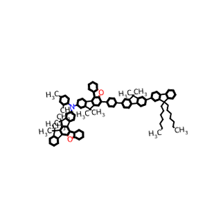 CCCCCCCC1(CCCCCCC)c2ccccc2-c2ccc(-c3ccc4c(c3)C(C)(C)c3cc(-c5ccc(-c6cc7c(c8c6oc6ccccc68)-c6ccc(N(c8ccc9c(c8)C(C)(C)c8c%10c(c%11oc%12ccccc%12c%11c8-9)-c8ccccc8C%10(C)C)c8ccc(C)cc8C)cc6C7(C)C)cc5)ccc3-4)cc21